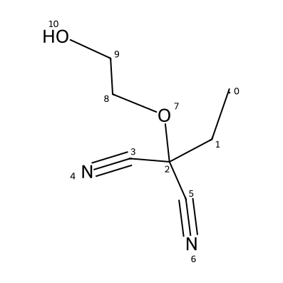 [CH2]CC(C#N)(C#N)OCCO